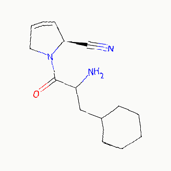 N#C[C@@H]1C=CCN1C(=O)C(N)CC1CCCCC1